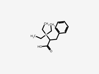 CC[Si](CC)(CC)C(Cc1ccccc1)C(=O)O